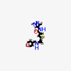 Cc1nn(C)cc1NC(=O)c1csc([C@@H]2CC2NCC2CCOCC2)c1